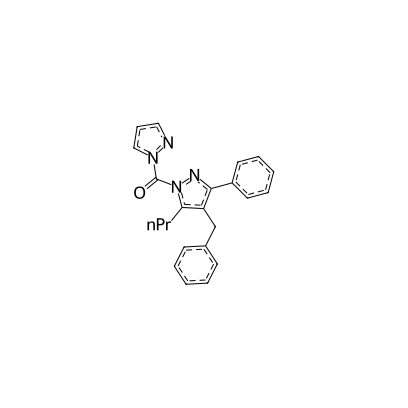 CCCc1c(Cc2ccccc2)c(-c2ccccc2)nn1C(=O)n1cccn1